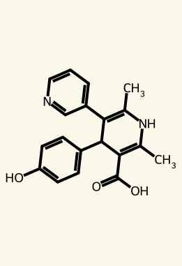 CC1=C(C(=O)O)C(c2ccc(O)cc2)C(c2cccnc2)=C(C)N1